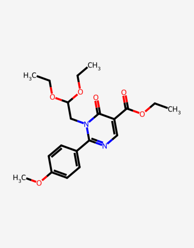 CCOC(=O)c1cnc(-c2ccc(OC)cc2)n(CC(OCC)OCC)c1=O